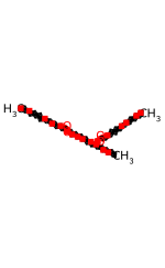 CCCCCCCCCCCCCCCCCC(=O)OCCCCCCCCCCC(CCCCCCCC)COC(=O)CCCCCCCCCCCCCCCCC